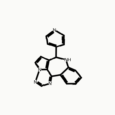 c1ccc2c(c1)NC(c1ccncc1)c1ccn3ncnc-2c13